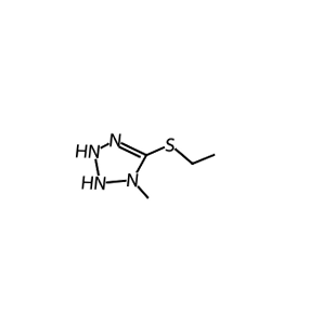 CCSC1=NNNN1C